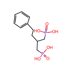 O=P(O)(O)CC(CCc1ccccc1)CP(=O)(O)O